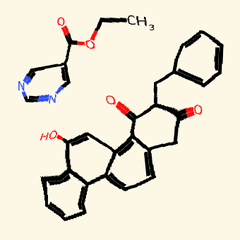 CCOC(=O)c1cncnc1.O=C1Cc2ccc3c(cc(O)c4ccccc43)c2C(=O)C1Cc1ccccc1